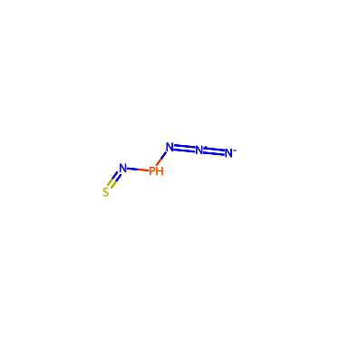 [N-]=[N+]=NPN=S